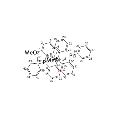 COc1ccccc1P(c1ccccc1[Si](C)(C)c1ccccc1[P@](c1ccccc1)c1ccccc1OC)C1(C)C=CC=CC1